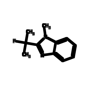 Cn1c(C(C)(C)F)nc2ccccc21